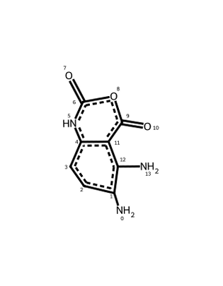 Nc1ccc2[nH]c(=O)oc(=O)c2c1N